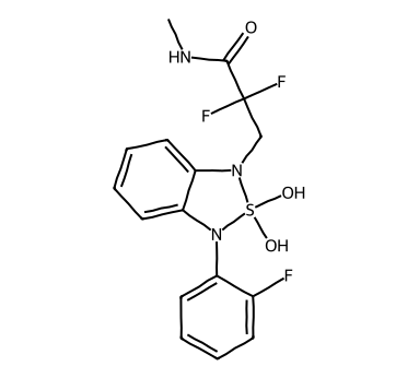 CNC(=O)C(F)(F)CN1c2ccccc2N(c2ccccc2F)S1(O)O